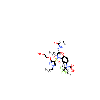 CCn1cc(S(=O)(=O)N2c3cc(N(C(=O)O)C(C)(C)C(F)(F)F)ccc3O[C@@H](CNC(C)=O)[C@H]2C)c(OCCO)n1